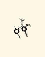 N#[N+]c1ccc(F)c([N+](=O)[O-])c1.N#[N+]c1ccc(F)c([N+](=O)[O-])c1.[O-]B([O-])F